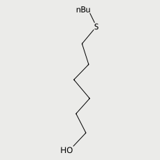 CCCCSCCCCCCO